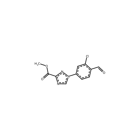 COC(=O)c1ncn(-c2ccc(C=O)c(Cl)c2)n1